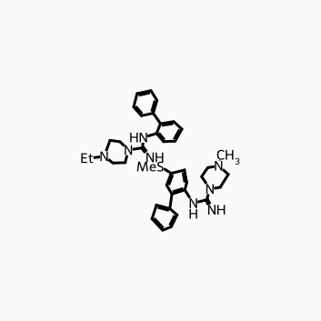 CCN1CCN(C(=N)Nc2ccccc2-c2ccccc2)CC1.CSc1ccc(NC(=N)N2CCN(C)CC2)c(-c2ccccc2)c1